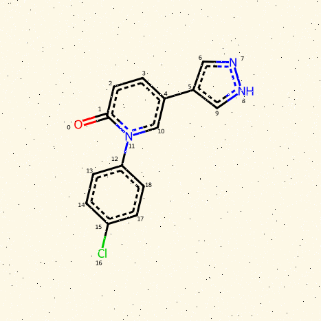 O=c1ccc(-c2cn[nH]c2)cn1-c1ccc(Cl)cc1